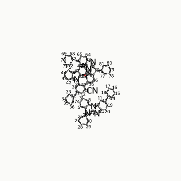 N#Cc1c(-c2ccc3c(c2)n2c4cc(-c5ccccc5)ccc4nc2n3-c2ccccc2)c(-c2ccccc2)cc(-n2c3ccccc3c3ccccc32)c1-c1ccc2c(c1)-n1c(nc3ccc(-c4ccccc4)cc31)C2c1ccccc1